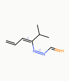 C=C/C=C(\N=N/C=P)C(C)C